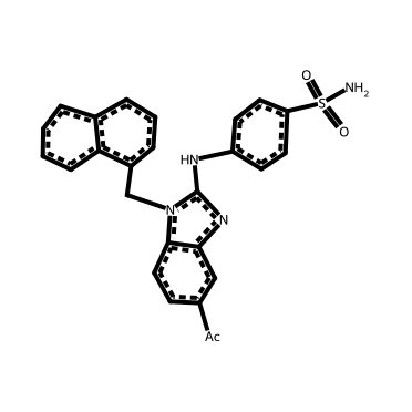 CC(=O)c1ccc2c(c1)nc(Nc1ccc(S(N)(=O)=O)cc1)n2Cc1cccc2ccccc12